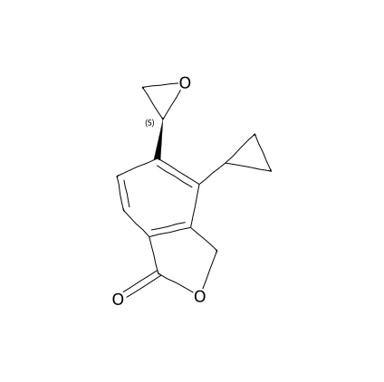 O=C1OCc2c1ccc([C@H]1CO1)c2C1CC1